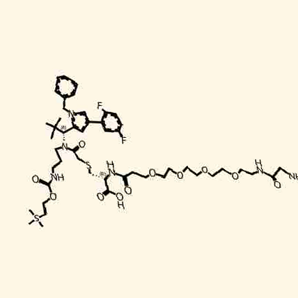 CC(C)(C)[C@H](c1cc(-c2cc(F)ccc2F)cn1Cc1ccccc1)N(CCCNC(=O)OCCS(C)(C)C)C(=O)CSC[C@H](NC(=O)CCOCCOCCOCCOCCNC(=O)CN)C(=O)O